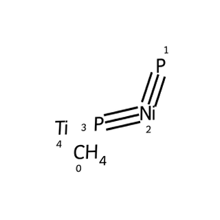 C.[P]#[Ni]#[P].[Ti]